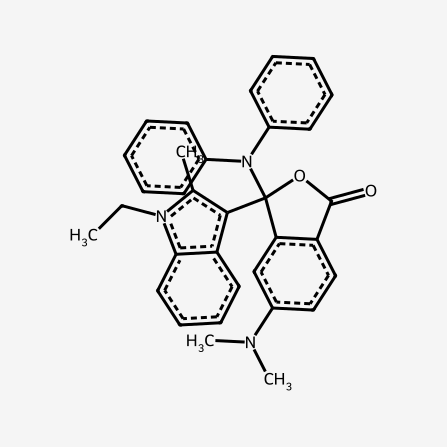 CCn1c(C)c(C2(N(c3ccccc3)c3ccccc3)OC(=O)c3ccc(N(C)C)cc32)c2ccccc21